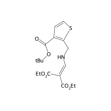 CCOC(=O)C(=CNCc1sccc1C(=O)OC(C)(C)C)C(=O)OCC